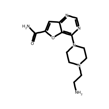 NCCN1CCN(c2ncnc3cc(C(N)=O)oc23)CC1